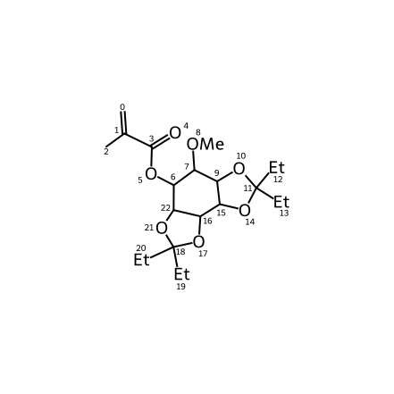 C=C(C)C(=O)OC1C(OC)C2OC(CC)(CC)OC2C2OC(CC)(CC)OC12